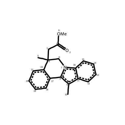 COC(=O)CC1(C)Cn2c(c(C)c3ccccc32)-c2ccccc21